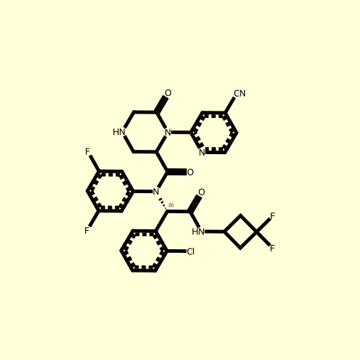 N#Cc1ccnc(N2C(=O)CNCC2C(=O)N(c2cc(F)cc(F)c2)[C@H](C(=O)NC2CC(F)(F)C2)c2ccccc2Cl)c1